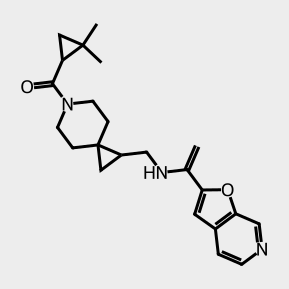 C=C(NCC1CC12CCN(C(=O)C1CC1(C)C)CC2)c1cc2ccncc2o1